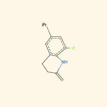 C=C1CCc2cc(C(C)C)cc(F)c2N1